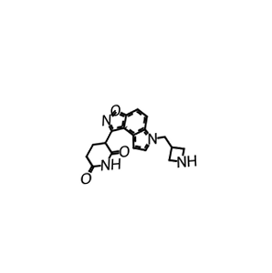 O=C1CCC(c2noc3ccc4c(ccn4CC4CNC4)c23)C(=O)N1